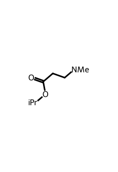 CNCCC(=O)OC(C)C